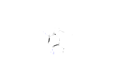 CCC1=C(N)C=C(N)C(C)(CC)C1